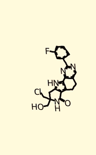 O=C1NC(CO)(CCl)Cc2[nH]c3c(c21)CCc1cnc(-c2cccc(F)c2)nc1-3